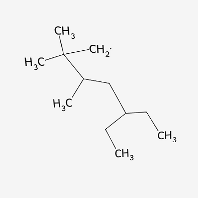 [CH2]C(C)(C)C(C)CC(CC)CC